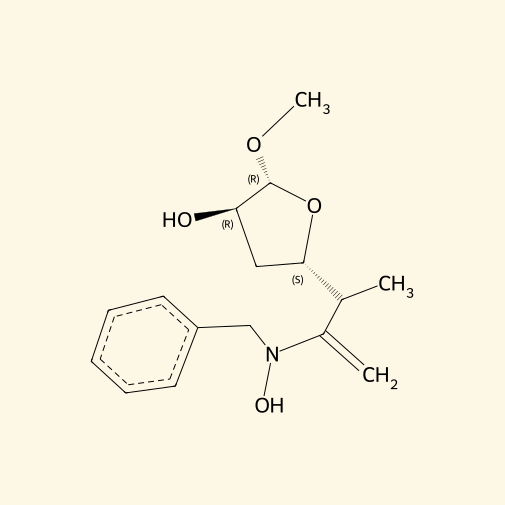 C=C(C(C)[C@@H]1C[C@@H](O)[C@H](OC)O1)N(O)Cc1ccccc1